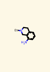 CCN1CCc2cccc(N)c2C1